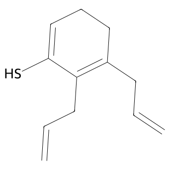 C=CCC1=C(CC=C)C(S)=CCC1